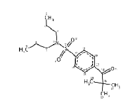 CCCN(CCC)S(=O)(=O)c1ccc(C(=O)C(C)(C)C)cc1